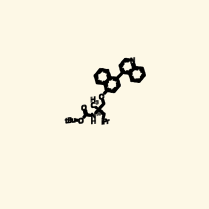 CC(C)C[C@@](C)(COc1ccc(-c2ccnc3ccccc23)c2ccccc12)NC(=O)OC(C)(C)C